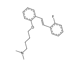 CN(C)CCCCOc1ccccc1C=Cc1ccccc1F